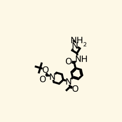 CC(=O)N(c1cccc(C(=O)NC2CN(N)C2)c1)C1CCN(C(=O)OC(C)(C)C)CC1